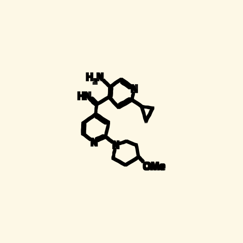 COC1CCN(c2cc(C(=N)c3cc(C4CC4)ncc3N)ccn2)CC1